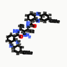 CCC(NC(=O)c1cccc2nc3ccc(OC)cc3nc12)C(N)C(CC)NC(=O)c1cccc2nc3ccc(OC)cc3nc12